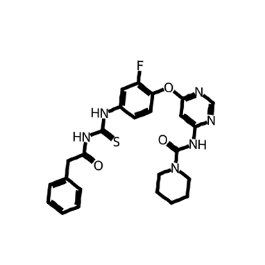 O=C(Cc1ccccc1)NC(=S)Nc1ccc(Oc2cc(NC(=O)N3CCCCC3)ncn2)c(F)c1